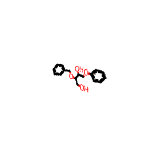 OCC(OCc1ccccc1)C(O)COc1ccccc1